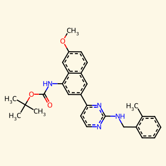 COc1ccc2cc(-c3ccnc(NCc4ccccc4C)n3)cc(NC(=O)OC(C)(C)C)c2c1